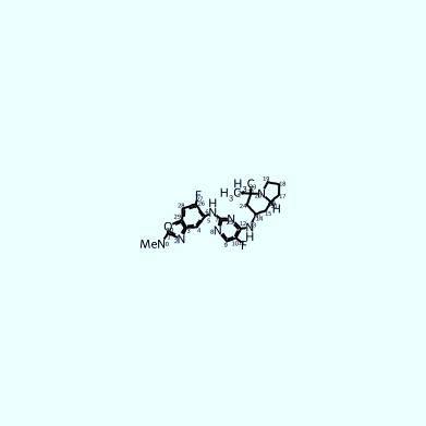 CNc1nc2cc(Nc3ncc(F)c(N[C@@H]4C[C@@H]5CCCN5C(C)(C)C4)n3)c(F)cc2o1